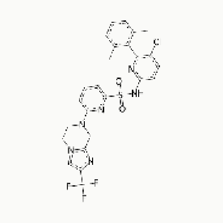 Cc1cccc(C)c1-c1nc(NS(=O)(=O)c2cccc(N3CCn4cc(C(F)(F)F)nc4C3)n2)ccc1Cl